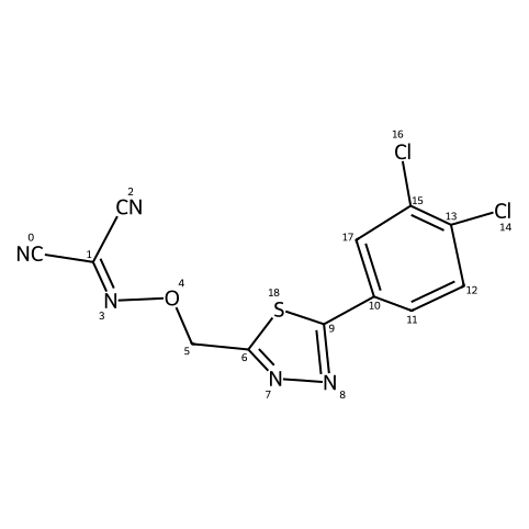 N#CC(C#N)=NOCc1nnc(-c2ccc(Cl)c(Cl)c2)s1